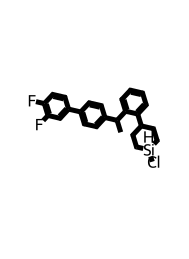 CC(c1ccc(-c2ccc(F)c(F)c2)cc1)c1ccccc1C1CC[SiH](Cl)CC1